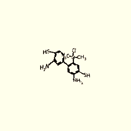 C[Si](C)(Cl)c1cc(S)c(N)cc1-c1ccc(S)c(N)c1